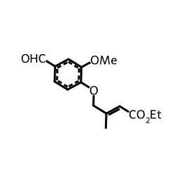 CCOC(=O)C=C(C)COc1ccc(C=O)cc1OC